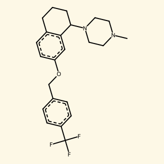 CN1CCN(C2CCCc3ccc(OCc4ccc(C(F)(F)F)cc4)cc32)CC1